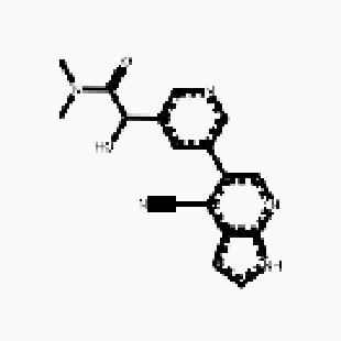 CN(C)C(=O)C(O)c1cncc(-c2cnc3[nH]ccc3c2C#N)c1